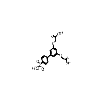 O=C(O)COc1cc(OCC(=O)O)cc(-c2ccc(S(=O)(=O)O)cc2)c1